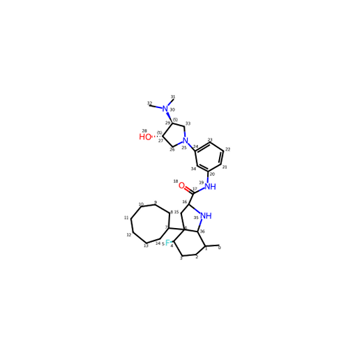 CC1CCC(F)C2(C3CCCCCCC3)CC(C(=O)Nc3cccc(N4C[C@H](O)[C@@H](N(C)C)C4)c3)NC12